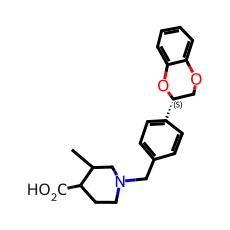 CC1CN(Cc2ccc([C@H]3COc4ccccc4O3)cc2)CCC1C(=O)O